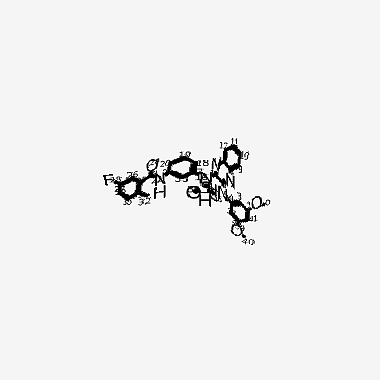 COc1cc(Nc2nc3ccccc3nc2N(c2cccc(NC(=O)c3cc(F)ccc3C)c2)[SH](=O)=O)cc(OC)c1